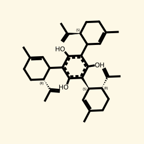 C=C(C)[C@H]1CCC(C)=CC1c1c(O)c(C2C=C(C)CC[C@H]2C(=C)C)c(O)c([C@@H]2C=C(C)CC[C@H]2C(=C)C)c1O